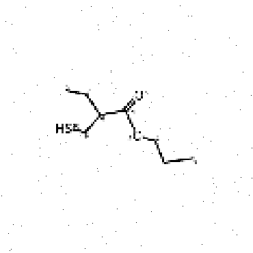 CCCOC(=O)C(CC)CS